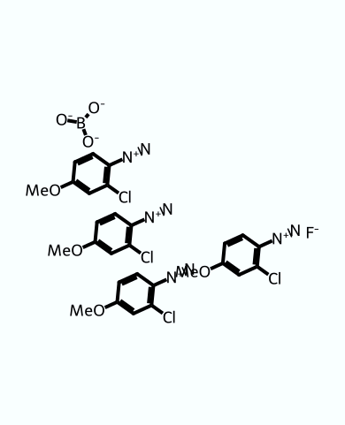 COc1ccc([N+]#N)c(Cl)c1.COc1ccc([N+]#N)c(Cl)c1.COc1ccc([N+]#N)c(Cl)c1.COc1ccc([N+]#N)c(Cl)c1.[F-].[O-]B([O-])[O-]